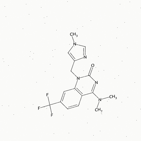 CN(C)c1nc(=O)n(Cc2cn(C)cn2)c2cc(C(F)(F)F)ccc12